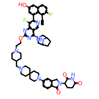 C#Cc1c(F)ccc2cc(O)cc(-c3ncc4c(N5CC6CCC(C5)N6)nc(OCCN5CCC(CN6CCC7(CC6)CCN(c6ccc8c(c6)CN(C6CCC(=O)NC6=O)C8=O)CC7)CC5)nc4c3F)c12